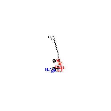 CCCCCCCCCCCCCCCCCCOC[C@H](COc1ccccc1)OP(=O)(O)OC[C@H]1O[C@@](C)(c2ccc3c(N)ncnn23)[C@H](O)[C@@H]1O